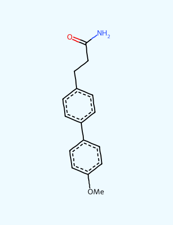 COc1ccc(-c2ccc(CCC(N)=O)cc2)cc1